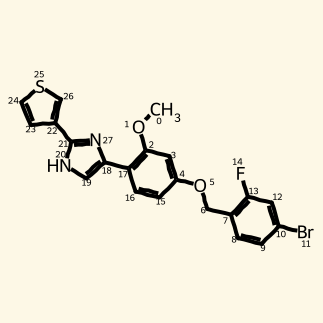 COc1cc(OCc2ccc(Br)cc2F)ccc1-c1c[nH]c(-c2ccsc2)n1